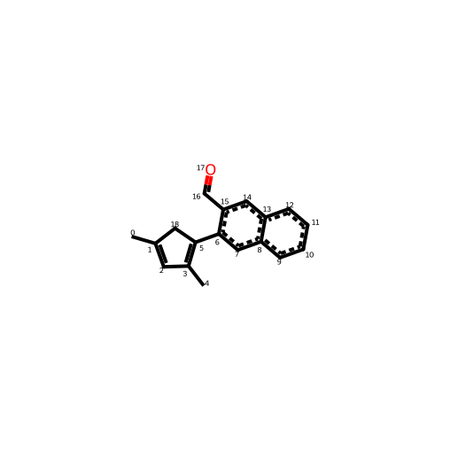 CC1=CC(C)=C(c2cc3ccccc3cc2C=O)C1